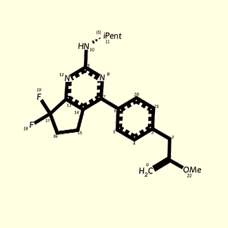 C=C(Cc1ccc(-c2nc(N[C@@H](C)CCC)nc3c2CCC3(F)F)cc1)OC